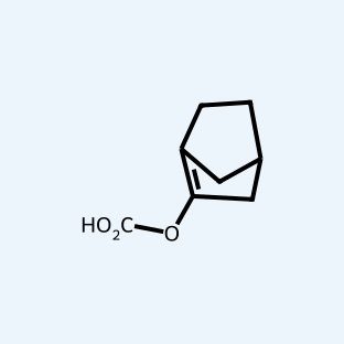 O=C(O)OC1=C2CCC(C2)C1